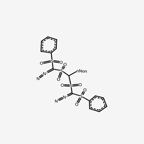 CCCCCCCCCC(S(=O)(=O)C(=[N+]=[N-])S(=O)(=O)c1ccccc1)S(=O)(=O)C(=[N+]=[N-])S(=O)(=O)c1ccccc1